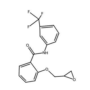 O=C(Nc1cccc(C(F)(F)F)c1)c1ccccc1OCC1CO1